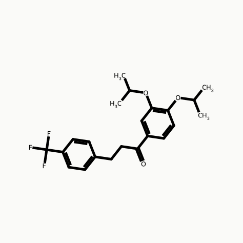 CC(C)Oc1ccc(C(=O)CCc2ccc(C(F)(F)F)cc2)cc1OC(C)C